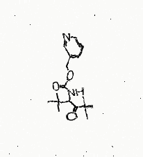 CC(C)(C)C(=O)C(NC(=O)OCc1cccnc1)C(C)(C)C